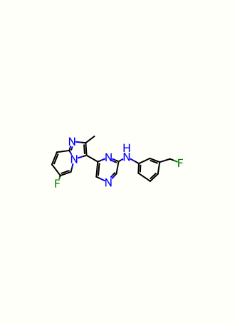 Cc1nc2ccc(F)cn2c1-c1cncc(Nc2cccc(CF)c2)n1